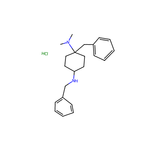 CN(C)C1(Cc2ccccc2)CCC(NCc2ccccc2)CC1.Cl